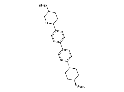 CCCCCCC1CCC(c2ccc(-c3ccc([C@H]4CC[C@H](CCCCC)CC4)cc3)cc2)OC1